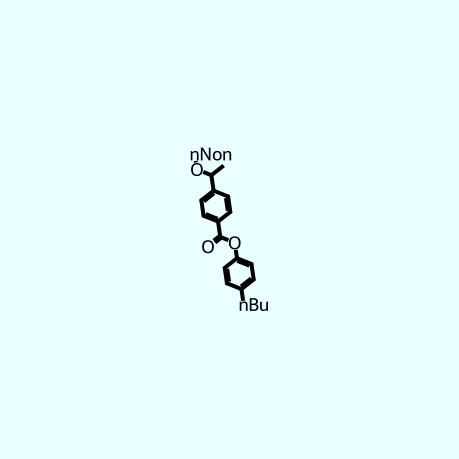 CCCCCCCCCOC(C)c1ccc(C(=O)Oc2ccc(CCCC)cc2)cc1